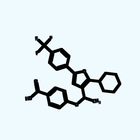 CC(Oc1ccc(C(=O)O)cc1)c1cc(-c2ccc(C(F)(F)F)cc2)oc1C1CCCCC1